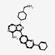 NC[C@H]1CC[C@H](c2nc(-c3ccc4ccc(C5=CCCC=C5)nc4c3)c3c(N)nccn32)CC1